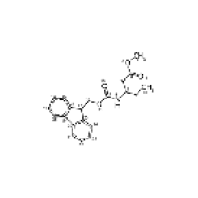 CCC(CC(=O)OC)NC(=O)OCC1c2ccccc2-c2ccccc21